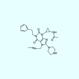 CC#CCn1c(N2CCNCC2)nc2c1c(=O)n(CCc1ccccc1)c(=O)n2C1CC1NC(C)=O